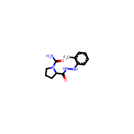 NC(=O)N1CCCC1C(=O)NNc1ccccc1C(F)(F)F